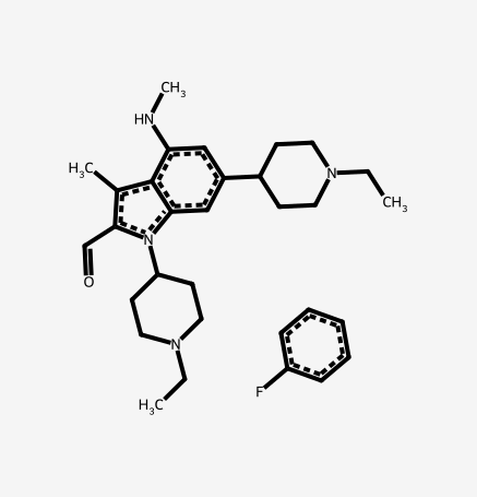 CCN1CCC(c2cc(NC)c3c(C)c(C=O)n(C4CCN(CC)CC4)c3c2)CC1.Fc1ccccc1